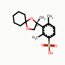 Cc1ccc(S(=O)(=O)O)c(C)c1[C@]1(C)COC2(CCCCC2)O1